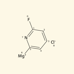 Fc1ccc[c]([Mg+])n1.[Cl-]